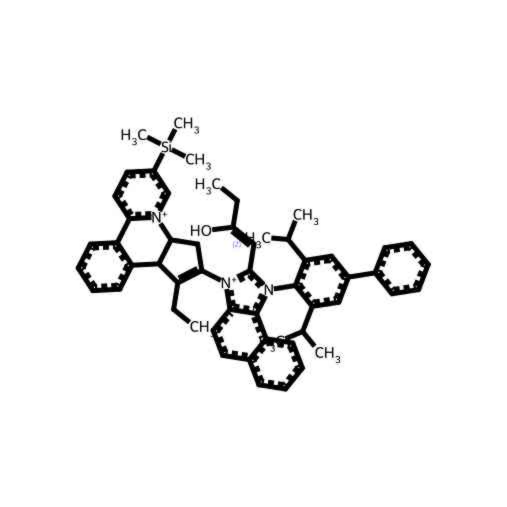 CCC1=C([n+]2c(/C=C(\O)CC)n(-c3c(C(C)C)cc(-c4ccccc4)cc3C(C)C)c3c4ccccc4ccc32)CC2C1c1ccccc1-c1ccc([Si](C)(C)C)c[n+]12